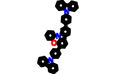 c1ccc2c(c1)Oc1c(-c3ccc(-n4c5ccccc5c5ccccc54)cc3)ccc3c4ccc(-c5ccc(-n6c7ccccc7c7ccccc76)cc5)cc4n-2c13